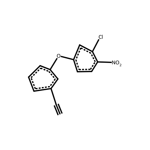 C#Cc1cccc(Oc2ccc([N+](=O)[O-])c(Cl)c2)c1